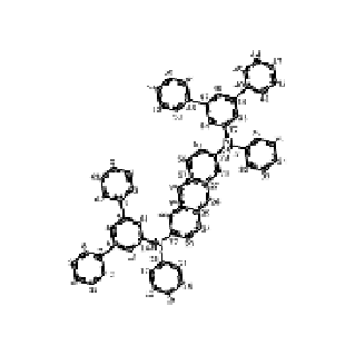 c1ccc(-c2cc(-c3ccccc3)cc(N(c3ccccc3)c3ccc4cc5cc(N(c6ccccc6)c6cc(-c7ccccc7)cc(-c7ccccc7)c6)ccc5cc4c3)c2)cc1